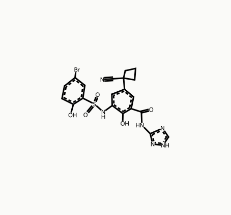 N#CC1(c2cc(NS(=O)(=O)c3cc(Br)ccc3O)c(O)c(C(=O)Nc3nc[nH]n3)c2)CCC1